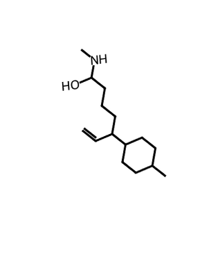 C=CC(CCCC(O)NC)C1CCC(C)CC1